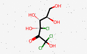 O=C(C(O)(Cl)Cl)[C@](O)(Cl)[C@H](O)[C@H](O)CO